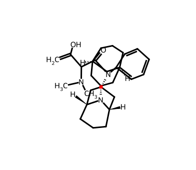 C=C(O)C(C(=O)N(c1ccccc1)[C@H]1C[C@H]2CCC[C@@H](C1)N2[C@H]1C[C@@H]2CCC[C@@H](C2)C1)N(C)C